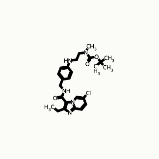 CCc1nc2ccc(Cl)cn2c1C(=O)NCc1ccc(NCCN(C)C(=O)OC(C)(C)C)cc1